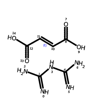 N=C(N)NC(=N)N.O=C(O)/C=C/C(=O)O